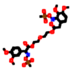 COC1=CC=C(CC(=O)OCCOCCOC(=O)C(=NOS(C)(=O)=O)c2ccc(OC)c(OC)c2)C(=NOS(C)(=O)=O)C1OC